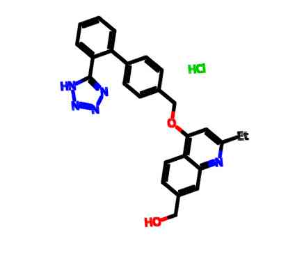 CCc1cc(OCc2ccc(-c3ccccc3-c3nnn[nH]3)cc2)c2ccc(CO)cc2n1.Cl